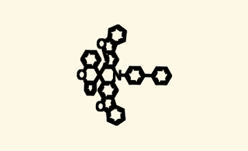 c1ccc(-c2ccc(N3c4cc5c(cc4C4(c6ccccc6Oc6ccccc64)c4cc6oc7ccccc7c6cc43)oc3ccccc35)cc2)cc1